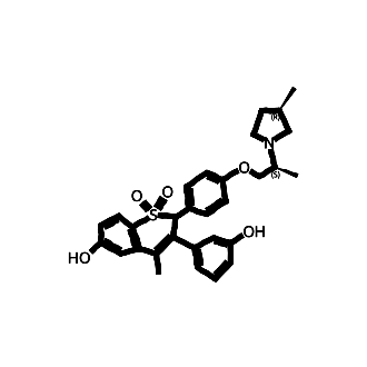 CC1=C(c2cccc(O)c2)C(c2ccc(OC[C@H](C)N3CC[C@@H](C)C3)cc2)S(=O)(=O)c2ccc(O)cc21